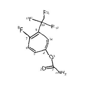 NC(=O)Oc1ccc(F)c(C(F)(F)F)c1